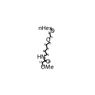 CCCCCCOCCOCCCCCNC(=O)COC